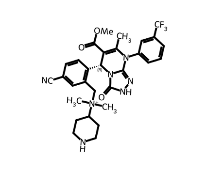 COC(=O)C1=C(C)N(c2cccc(C(F)(F)F)c2)c2n[nH]c(=O)n2[C@@H]1c1ccc(C#N)cc1C[N+](C)(C)C1CCNCC1